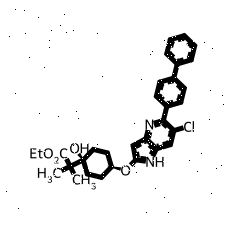 CCOC(=O)C(C)(C)[C@]1(O)CC[C@@H](Oc2cc3nc(-c4ccc(-c5ccccc5)cc4)c(Cl)cc3[nH]2)CC1